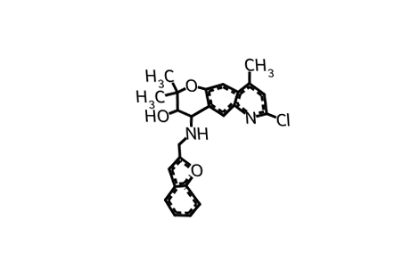 Cc1cc(Cl)nc2cc3c(cc12)OC(C)(C)C(O)C3NCc1cc2ccccc2o1